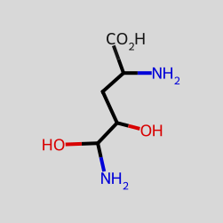 NC(CC(O)C(N)O)C(=O)O